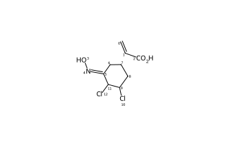 C=CC(=O)O.ON=C1CCCC(Cl)C1Cl